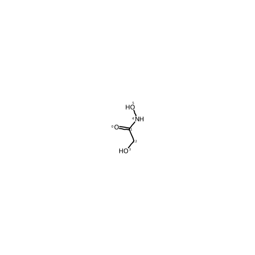 O=C([CH]O)NO